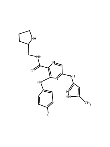 Cc1cc(Nc2cnc(C(=O)NCC3CCCN3)c(Nc3ccc(Cl)cc3)n2)n[nH]1